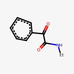 [CH2]CNC(=O)C(=O)c1ccccc1